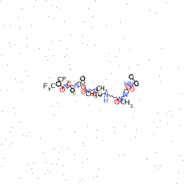 CN(CCN1CCC(OC(=O)Nc2ccccc2-c2ccccc2)CC1)C(=O)CCCCCNCc1ccc(C(=O)N(C)CCCN(C)C(=O)COC2Cc3ccccc3C23CCN(CC[C@@]2(c4ccc(F)cc4)CN(C(=O)c4cc(C(F)(F)F)cc(C(F)(F)F)c4)CO2)CC3)s1